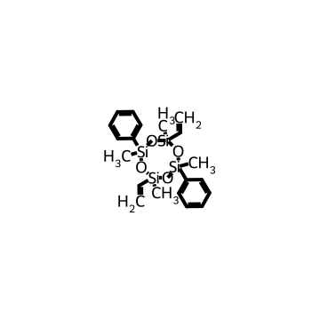 C=C[Si]1(C)O[Si](C)(c2ccccc2)O[Si](C)(C=C)O[Si](C)(c2ccccc2)O1